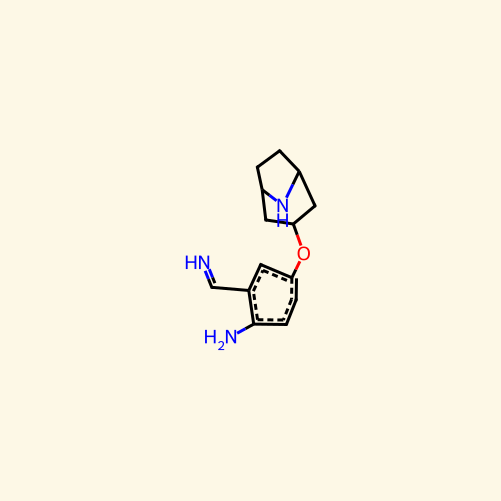 N=Cc1cc(OC2CC3CCC(C2)N3)ccc1N